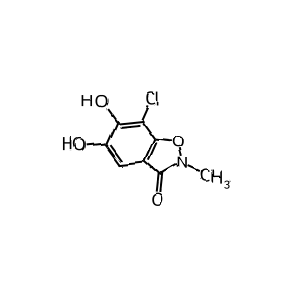 Cn1oc2c(Cl)c(O)c(O)cc2c1=O